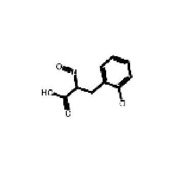 O=NC(Cc1ccccc1Cl)C(=O)O